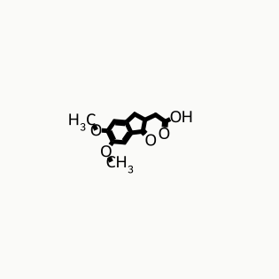 COc1cc2c(cc1OC)C(=O)C(CC(=O)O)C2